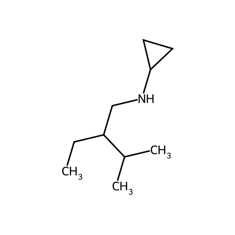 CCC(CNC1CC1)C(C)C